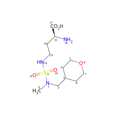 CN(CC1CCOCC1)S(=O)(=O)NCC[C@H](N)C(=O)O